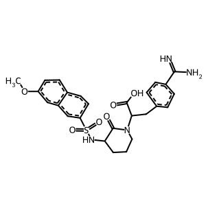 COc1ccc2ccc(S(=O)(=O)NC3CCCN(C(Cc4ccc(C(=N)N)cc4)C(=O)O)C3=O)cc2c1